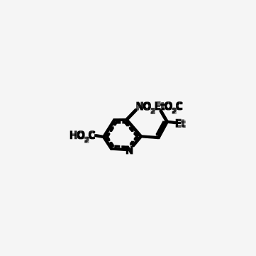 CCOC(=O)/C(=C\c1ncc(C(=O)O)cc1[N+](=O)[O-])CC